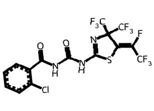 O=C(NC(=O)c1ccccc1Cl)NC1=NC(C(F)(F)F)(C(F)(F)F)/C(=C(\F)C(F)(F)F)S1